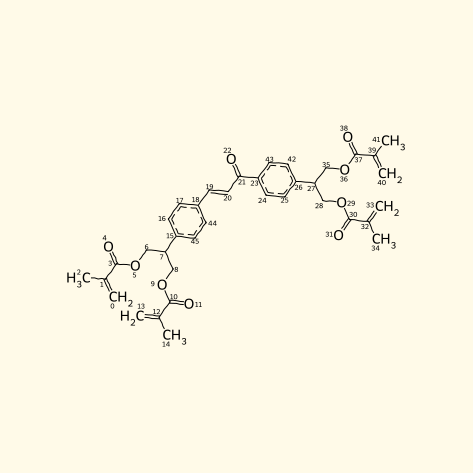 C=C(C)C(=O)OCC(COC(=O)C(=C)C)c1ccc(/C=C/C(=O)c2ccc(C(COC(=O)C(=C)C)COC(=O)C(=C)C)cc2)cc1